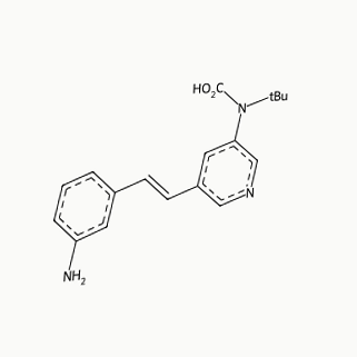 CC(C)(C)N(C(=O)O)c1cncc(C=Cc2cccc(N)c2)c1